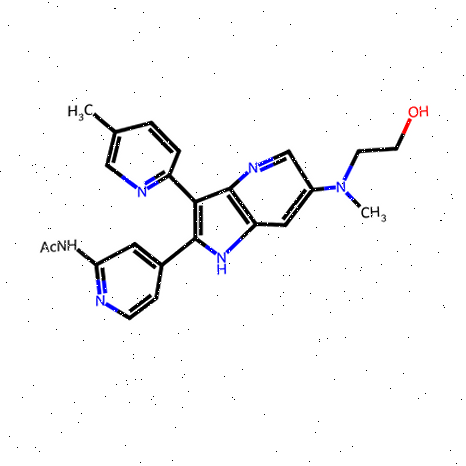 CC(=O)Nc1cc(-c2[nH]c3cc(N(C)CCO)cnc3c2-c2ccc(C)cn2)ccn1